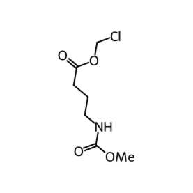 COC(=O)NCCCC(=O)OCCl